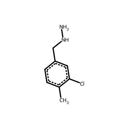 Cc1ccc(CNN)cc1Cl